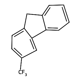 FC(F)(F)c1ccc2c(c1)-c1ccccc1C2